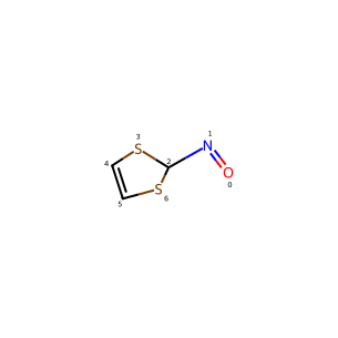 O=NC1SC=CS1